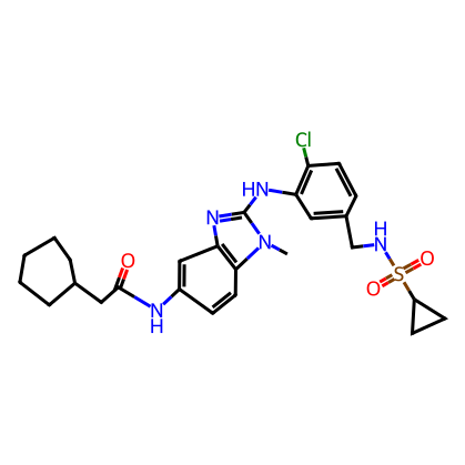 Cn1c(Nc2cc(CNS(=O)(=O)C3CC3)ccc2Cl)nc2cc(NC(=O)CC3CCCCC3)ccc21